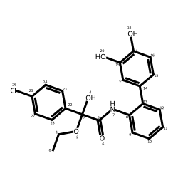 CCOC(O)(C(=O)Nc1ccccc1-c1ccc(O)c(O)c1)c1ccc(Cl)cc1